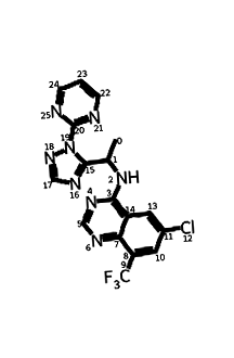 CC(Nc1ncnc2c(C(F)(F)F)cc(Cl)cc12)c1ncnn1-c1ncccn1